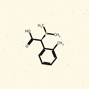 Cc1ccccc1[C@@H](C(=O)O)N(C)C